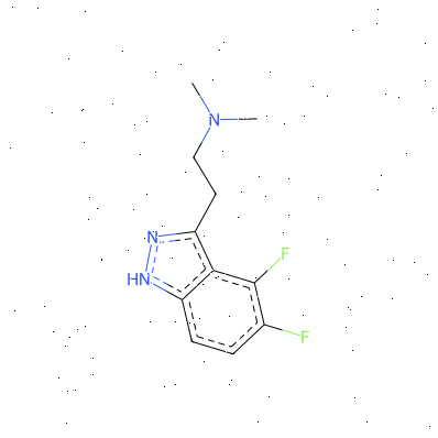 CN(C)CCc1n[nH]c2ccc(F)c(F)c12